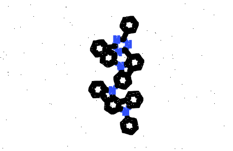 c1ccc(-c2nc(-c3ccccc3)nc(-c3cccc4c5ccc(-n6c7ccccc7c7ccc8c(c9ccccc9n8-c8ccccc8)c76)cc5n(-c5ccccc5)c34)n2)cc1